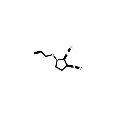 C=CCON1CCC(=C=O)C1=C=O